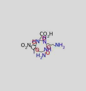 NCCCC[C@@H]1NC(=O)[C@H](CCC(=O)O)NC(=O)c2cc([N+](=O)[O-])cc(I)c2OCC[C@@H](C(N)=O)NC1=O